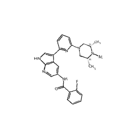 CC(=O)N1[C@H](C)CN(c2cccc(-c3c[nH]c4ncc(NC(=O)c5ccccc5F)cc34)n2)C[C@@H]1C